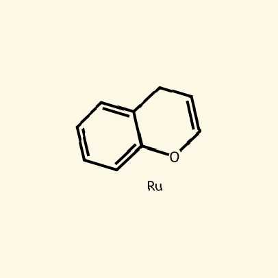 C1=COc2ccccc2C1.[Ru]